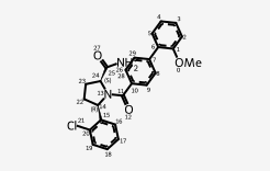 COc1ccccc1-c1ccc(C(=O)N2[C@@H](c3ccccc3Cl)CC[C@H]2C(N)=O)cc1